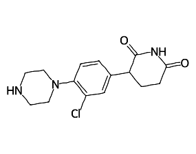 O=C1CCC(c2ccc(N3CCNCC3)c(Cl)c2)C(=O)N1